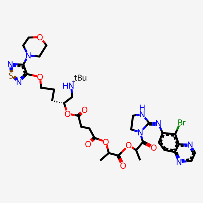 CC(OC(=O)CCC(=O)O[C@H](CCCOc1nsnc1N1CCOCC1)CNC(C)(C)C)C(=O)OC(C)C(=O)N1CCN/C1=N/c1ccc2nccnc2c1Br